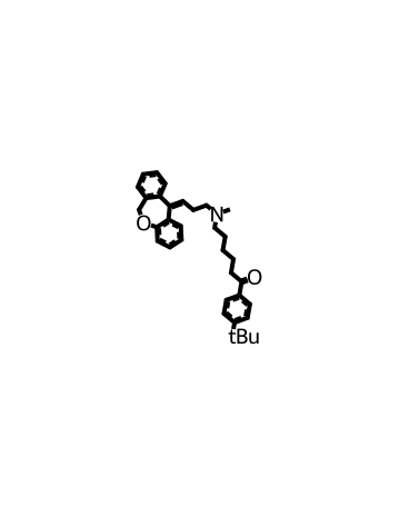 CN(CCC=C1c2ccccc2COc2ccccc21)CCCCCC(=O)c1ccc(C(C)(C)C)cc1